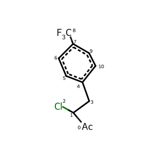 CC(=O)C(Cl)Cc1ccc(C(F)(F)F)cc1